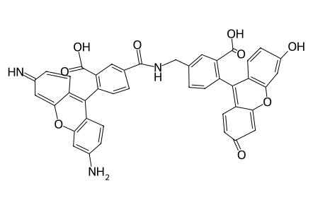 N=c1ccc2c(-c3ccc(C(=O)NCc4ccc(-c5c6ccc(=O)cc-6oc6cc(O)ccc56)c(C(=O)O)c4)cc3C(=O)O)c3ccc(N)cc3oc-2c1